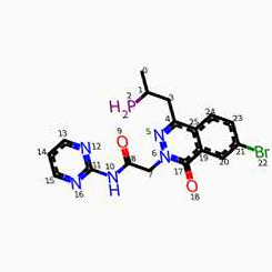 CC(P)Cc1nn(CC(=O)Nc2ncccn2)c(=O)c2cc(Br)ccc12